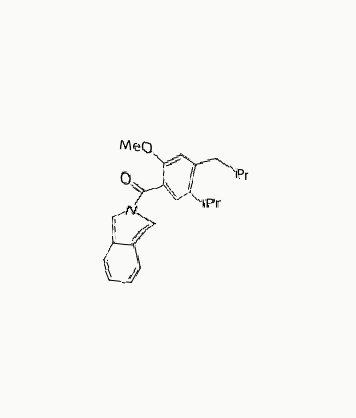 COc1cc(CC(C)C)c(C(C)C)cc1C(=O)n1cc2ccccc2c1